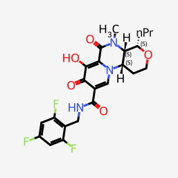 CCC[C@@H]1OCC[C@H]2[C@@H]1N(C)C(=O)c1c(O)c(=O)c(C(=O)NCc3c(F)cc(F)cc3F)cn12